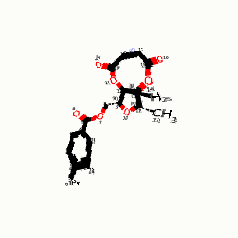 CC(C)c1ccc(C(=O)OC[C@H]2O[C@@H](C)[C@H]3OC(=O)/C=C\C(=O)OC23)cc1